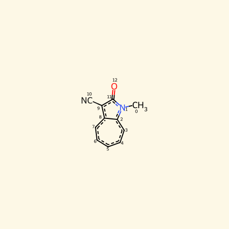 Cn1c2cccccc-2c(C#N)c1=O